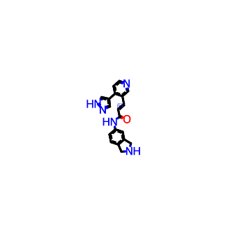 O=C(/C=C/c1cnccc1-c1cn[nH]c1)Nc1ccc2c(c1)CNC2